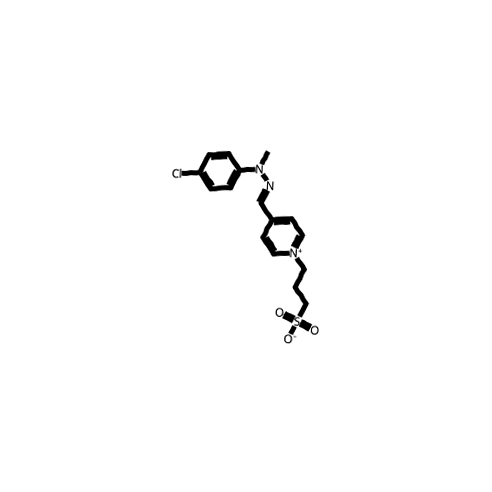 CN(/N=C/c1cc[n+](CCCS(=O)(=O)[O-])cc1)c1ccc(Cl)cc1